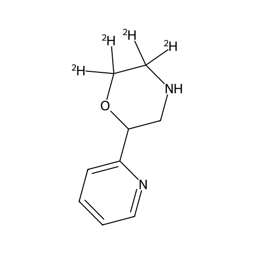 [2H]C1([2H])NCC(c2ccccn2)OC1([2H])[2H]